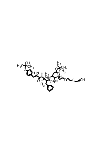 C#CCOCCOCCNC(O)C(CC(=O)OC(C)(C)C)NC(O)C(Cc1ccccc1)C(C)(C)NC(=O)C(N)Cc1ccc(OC(C)(C)C)cc1